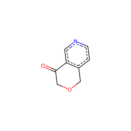 O=C1COCc2ccncc21